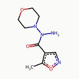 Cc1oncc1C(=O)N(N)N1CCOCC1